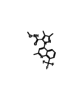 CONC(=O)c1c(C)c(C)nn1-c1cc(C)nc2c(C(F)(F)F)cccc12